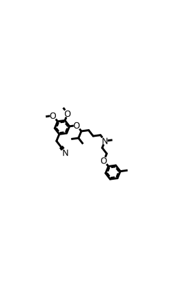 COc1cc(CC#N)cc(OC(CCCN(C)CCOc2cccc(C)c2)C(C)C)c1OC